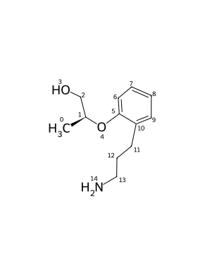 C[C@@H](CO)Oc1ccccc1CCCN